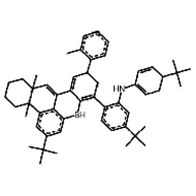 Cc1ccccc1C1C=C2C3=CC4(C)CCCCC4(C)c4cc(C(C)(C)C)cc(c43)BC2=C(c2ccc(C(C)(C)C)cc2NC2=CCC(C(C)(C)C)C=C2)C1